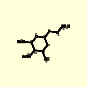 [CH2-][OH+]C1OC(COS(=O)(=O)O)CC(O)C1NC(C)=O